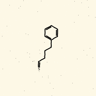 S=CCCCc1ccccc1